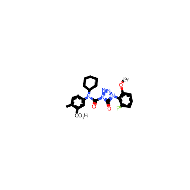 Cc1ccc(N(C(=O)n2nnn(-c3c(F)cccc3OC(C)C)c2=O)C2CCCCC2)cc1C(=O)O